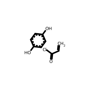 C=CC(=O)Cl.Oc1ccc(O)cc1